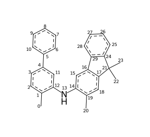 Cc1ccc(-c2ccccc2)cc1Nc1cc2c(cc1C)C(C)(C)c1ccccc1-2